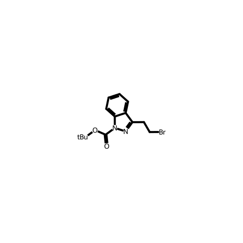 CC(C)(C)OC(=O)n1nc(CCBr)c2ccccc21